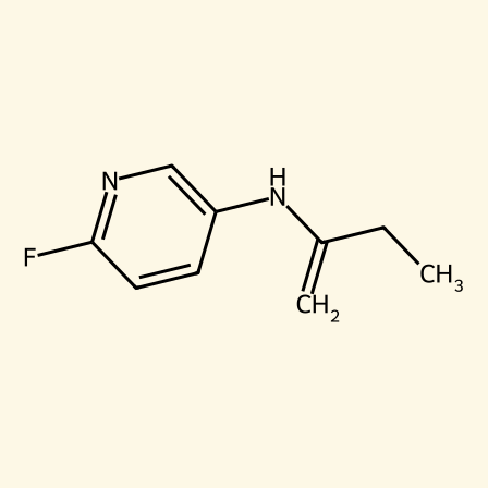 C=C(CC)Nc1ccc(F)nc1